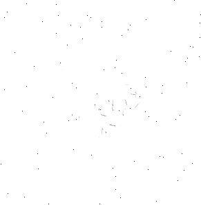 N#CCC1(N/C=C(\C(=N)Nc2ccnc(F)c2)C(N)=O)CCC(N2CC(F)C2)CC1